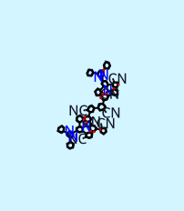 N#Cc1cc(-c2ccc(C#N)c(-c3ccc4c(c3)c3cc(-c5ccccc5C#N)ccc3n4-c3c(-c4ccccc4C#N)cc(-c4nc(-c5ccccc5)cc(-c5ccccc5)n4)cc3-c3ccccc3C#N)c2)cc(-c2ccc3c(c2)c2ccccc2n3-c2c(-c3ccccc3C#N)cc(-c3nc(-c4ccccc4)cc(-c4ccccc4)n3)cc2-c2ccccc2C#N)c1